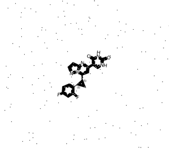 O=c1[nH]cc(-c2cc([C@H]3C[C@@H]3c3ccc(F)cc3F)n3nccc3n2)c(=O)[nH]1